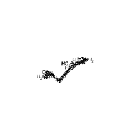 Cc1nc2ccc(-c3cnn(CCCCCCn4cc(COCCOCCOCCOCCNC(=O)CC[C@H](NC(=O)c5ccc(NCc6cnc7nc(N)nc(O)c7n6)cc5)C(=O)O)nn4)c3)cn2c1Cc1cc(Cl)ccc1Cl